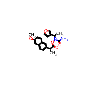 COc1ccc2cc([C@H](C)C(=O)ON(C(N)=O)C(C)c3ccoc3)ccc2c1